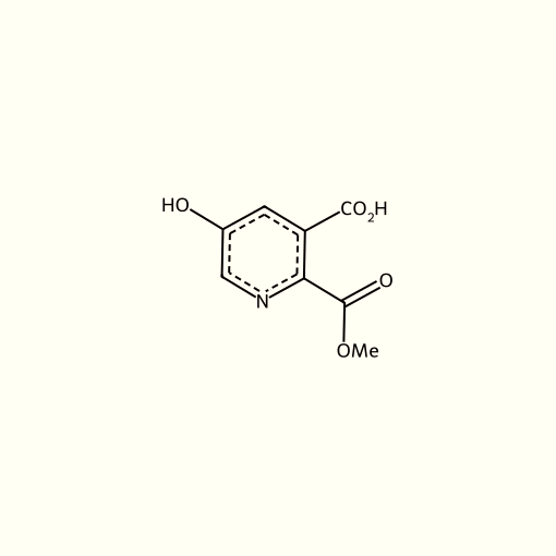 COC(=O)c1ncc(O)cc1C(=O)O